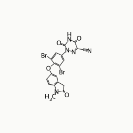 CN1C(=O)Cc2cc(Oc3c(Br)cc(-n4nc(C#N)c(=O)[nH]c4=O)cc3Br)ccc21